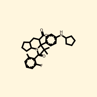 Cc1cccc(F)c1C(=O)N1C2CCCC2CC(C(=O)O)C1(c1ccc(NC2CCCC2)cc1)C(C)(C)C